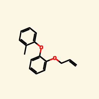 C=CCOc1ccccc1Oc1ccccc1C